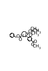 COC(=O)c1ccc([C@@H]2CN(C(=O)OCc3ccccc3)CCCN2C(=O)OC(C)(C)C)cc1